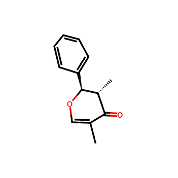 CC1=CO[C@@H](c2ccccc2)[C@H](C)C1=O